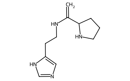 C=C(NCCc1cnc[nH]1)C1CCCN1